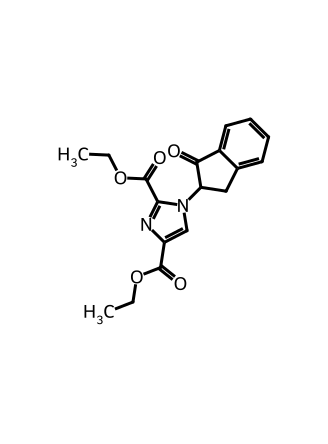 CCOC(=O)c1cn(C2Cc3ccccc3C2=O)c(C(=O)OCC)n1